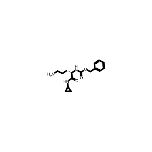 NCCC[C@H](NC(=O)OCc1ccccc1)C(=O)NC1CC1